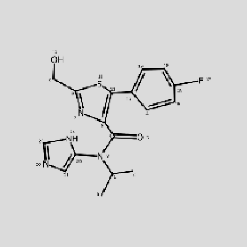 CC(C)N(C(=O)c1nc(CO)sc1-c1ccc(F)cc1)c1cnc[nH]1